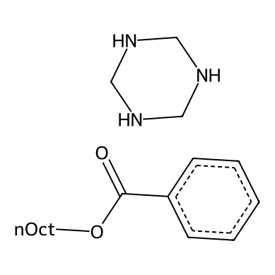 C1NCNCN1.CCCCCCCCOC(=O)c1ccccc1